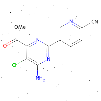 COC(=O)c1nc(-c2ccc(C#N)nc2)nc(N)c1Cl